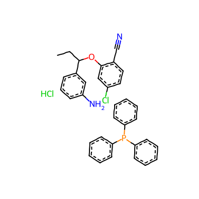 CCC(Oc1cc(Cl)ccc1C#N)c1cccc(N)c1.Cl.c1ccc(P(c2ccccc2)c2ccccc2)cc1